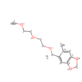 CCCCOCCOCCOCc1cc2c(cc1CCC)OCO2.[Y]